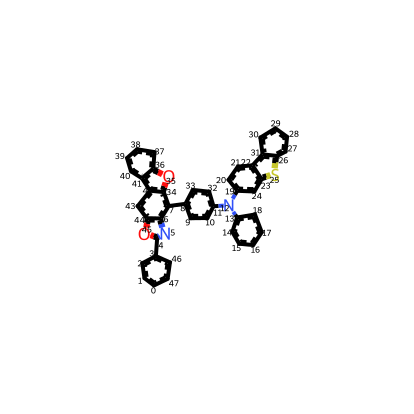 c1ccc(-c2nc3c(-c4ccc(N(c5ccccc5)c5ccc6c(c5)sc5ccccc56)cc4)c4oc5ccccc5c4cc3o2)cc1